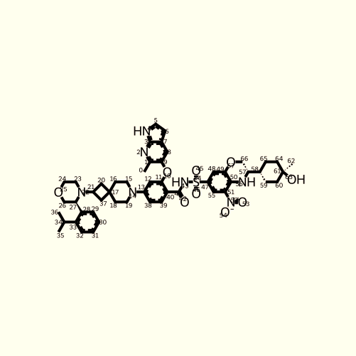 Cc1nc2[nH]ccc2cc1Oc1cc(N2CCC3(CC2)CC(N2CCOC[C@@H]2c2ccccc2C(C)C)C3)ccc1C(=O)NS(=O)(=O)c1cc2c(c([N+](=O)[O-])c1)N[C@@H]([C@H]1CC[C@](C)(O)CC1)CO2